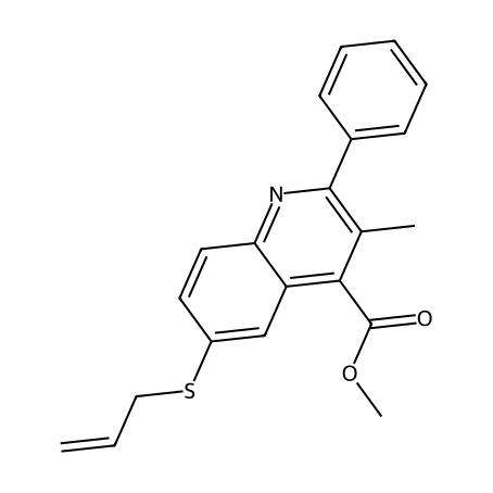 C=CCSc1ccc2nc(-c3ccccc3)c(C)c(C(=O)OC)c2c1